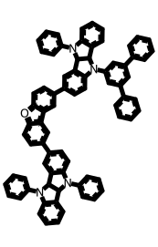 c1ccc(-c2cc(-c3ccccc3)cc(N3c4ccc(-c5ccc6oc7ccc(-c8ccc9c(c8)C8C(c%10ccccc%10N8c8ccccc8)N9c8ccccc8)cc7c6c5)cc4C4C3c3ccccc3N4c3ccccc3)c2)cc1